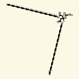 C#CC#CC#CC#CC#CC#CC#CC#CC#CC#CC#COC(=O)CC(C)(CC(=O)OC#CC#CC#CC#CC#CC#CC#CC#CC#CC#CC#C)OC(=O)CCCC